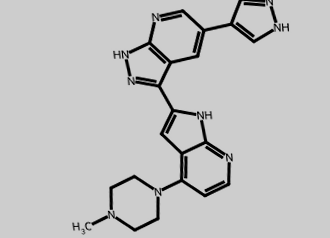 CN1CCN(c2ccnc3[nH]c(-c4n[nH]c5ncc(-c6cn[nH]c6)cc45)cc23)CC1